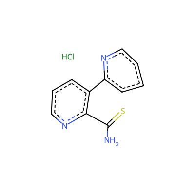 Cl.NC(=S)c1ncccc1-c1ccccn1